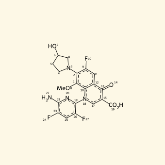 COc1c(N2CCC(O)C2)c(F)cc2c(=O)c(C(=O)O)cn(-c3nc(N)c(F)cc3F)c12